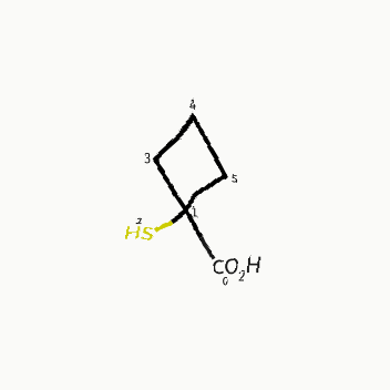 O=C(O)C1(S)CCC1